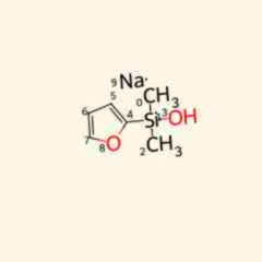 C[Si](C)(O)c1ccco1.[Na]